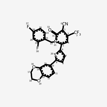 N#Cc1c(C(F)(F)F)cc(-c2ccc(-c3ccc4c(c3)OCCO4)s2)n(Cc2ccc(F)cc2F)c1=O